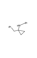 CC(C)CC1(NC(C)C)CC1